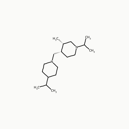 CC(C)C1CCN(C[C@H]2CCN(C(C)C)C[C@H]2C)CC1